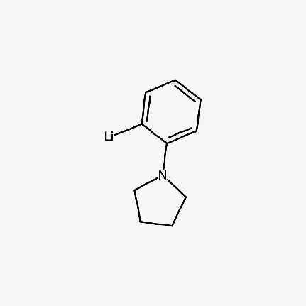 [Li][c]1ccccc1N1CCCC1